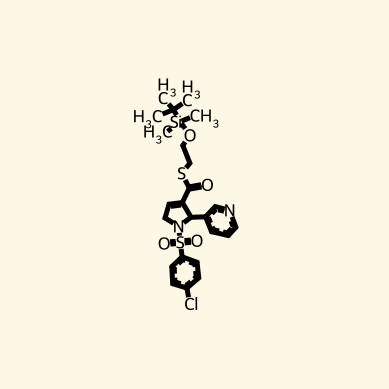 CC(C)(C)[Si](C)(C)OCCSC(=O)C1=CCN(S(=O)(=O)c2ccc(Cl)cc2)C1c1cccnc1